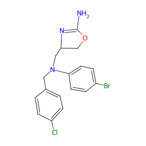 NC1=NC(CN(Cc2ccc(Cl)cc2)c2ccc(Br)cc2)CO1